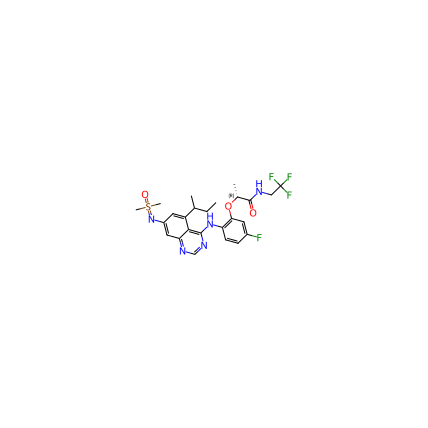 CCC(C)c1cc(N=S(C)(C)=O)cc2ncnc(Nc3ccc(F)cc3O[C@H](C)C(=O)NCC(F)(F)F)c12